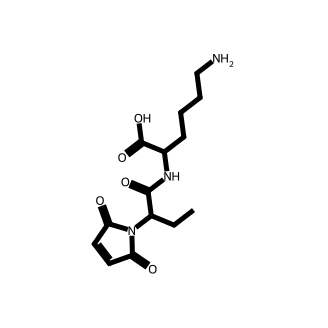 CCC(C(=O)NC(CCCCN)C(=O)O)N1C(=O)C=CC1=O